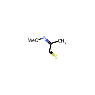 [CH2]C(C=S)=NOC